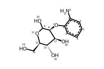 Nc1ccccc1O[C@@H]1C(O)O[C@H](CO)[C@@H](O)[C@@H]1O